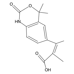 C/C(C(=O)O)=C(\C)c1ccc2c(c1)C(C)(C)OC(=O)N2